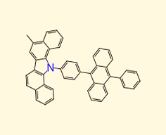 Cc1cc2c3ccc4ccccc4c3n(-c3ccc(-c4c5ccccc5c(-c5ccccc5)c5ccccc45)cc3)c2c2ccccc12